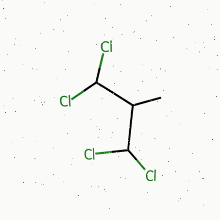 CC(C(Cl)Cl)C(Cl)Cl